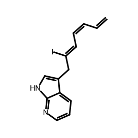 C=C/C=C\C=C(/I)Cc1c[nH]c2ncccc12